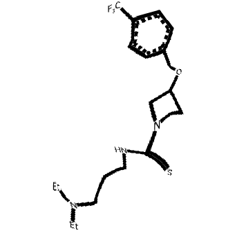 CCN(CC)CCCNC(=S)N1CC(Oc2ccc(C(F)(F)F)cc2)C1